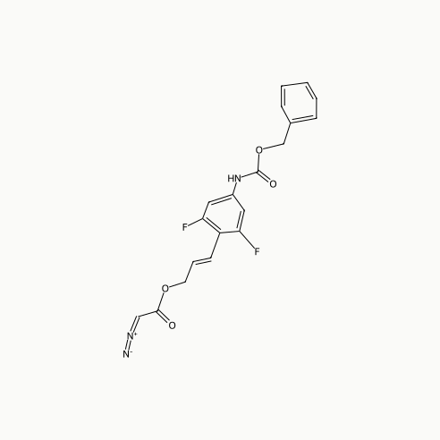 [N-]=[N+]=CC(=O)OCC=Cc1c(F)cc(NC(=O)OCc2ccccc2)cc1F